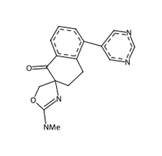 CNC1=NC2(CCc3c(cccc3-c3cncnc3)C2=O)CO1